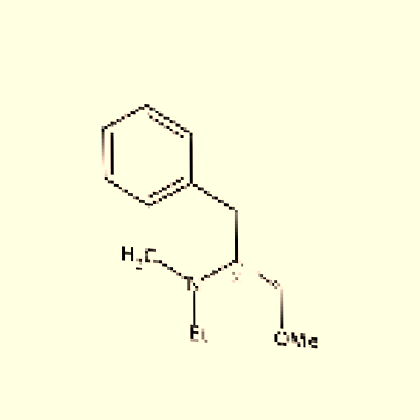 CCN(C)[C@@H](COC)Cc1ccccc1